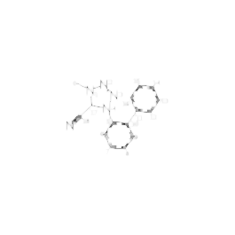 CN1N=NN(c2ccccc2-c2ccccc2)C1C#N